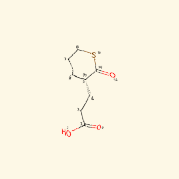 O=C(O)CC[C@@H]1CCCSC1=O